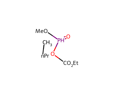 CCCC.CCOC(=O)O[PH](=O)OC